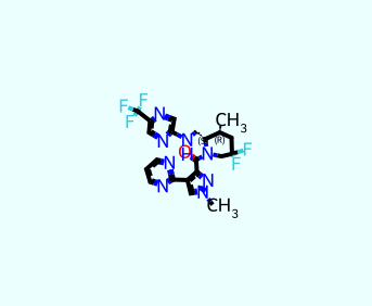 C[C@@H]1CC(F)(F)CN(C(=O)c2nn(C)cc2-c2ncccn2)[C@@H]1CNc1cnc(C(F)(F)F)cn1